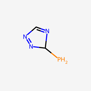 PC1N=CN=N1